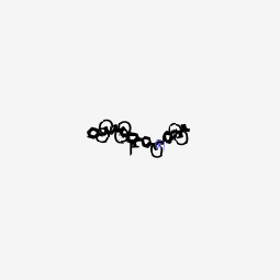 C=C(C)C(=O)Oc1ccc(/C=C/C(=O)c2ccc(-c3ccc(OC(=O)C(=C)CC(=O)OC4CCCCC4)cc3F)cc2)cc1